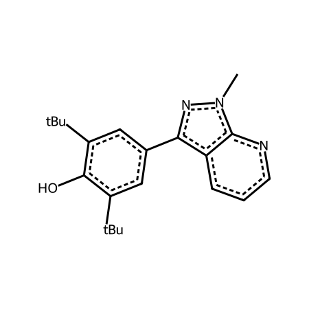 Cn1nc(-c2cc(C(C)(C)C)c(O)c(C(C)(C)C)c2)c2cccnc21